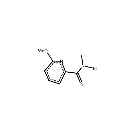 CCN(C)C(=N)c1cccc(OC)n1